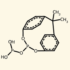 CC1(C)c2ccc(cc2)OP(OP(O)O)Oc2ccc1cc2